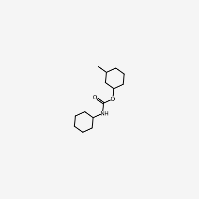 CC1CCCC(OC(=O)NC2CCCCC2)C1